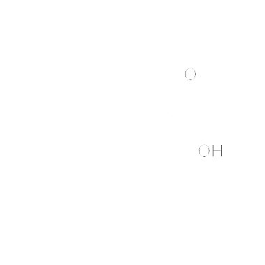 CC1=C(C(=O)O)CC(C)CC1